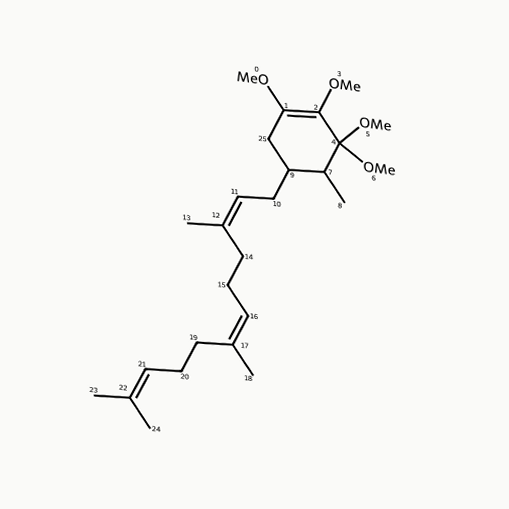 COC1=C(OC)C(OC)(OC)C(C)C(CC=C(C)CCC=C(C)CCC=C(C)C)C1